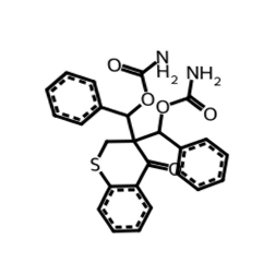 NC(=O)OC(c1ccccc1)C1(C(OC(N)=O)c2ccccc2)CSc2ccccc2C1=O